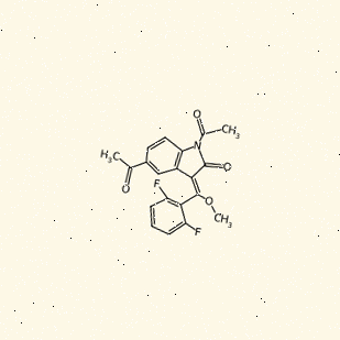 CO/C(=C1\C(=O)N(C(C)=O)c2ccc(C(C)=O)cc21)c1c(F)cccc1F